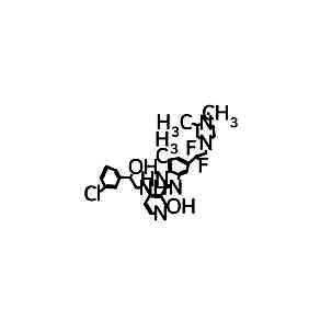 Cc1cc(C(F)(F)CN2CCN(C)C(C)C2)cc2nc(-c3c(NC[C@H](O)c4cccc(Cl)c4)ccnc3O)[nH]c12